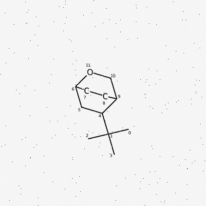 CC(C)(C)C1CC2CCC1CO2